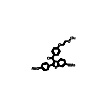 COc1ccc(-c2sc3cc(OC)ccc3c2C(=O)c2ccc(OCCOC(C)(C)C)cc2)cc1